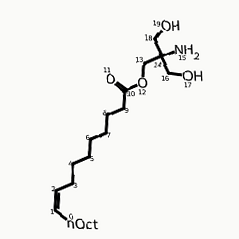 CCCCCCCC/C=C\CCCCCCCC(=O)OCC(N)(CO)CO